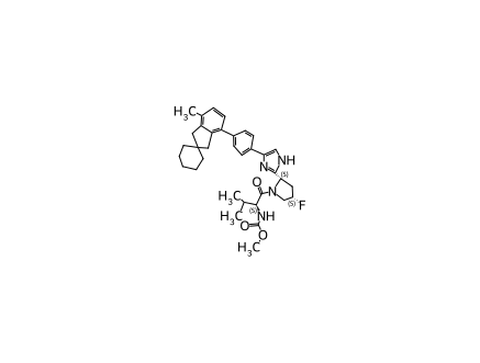 COC(=O)N[C@H](C(=O)N1C[C@@H](F)C[C@H]1c1nc(-c2ccc(-c3ccc(C)c4c3CC3(CCCCC3)C4)cc2)c[nH]1)C(C)C